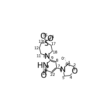 C[C@@H]1COCCN1c1cc(N2CCCS(=O)(=O)CC2)[nH]c(=O)c1